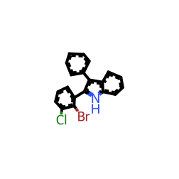 Clc1cccc(-c2[nH]c3ccccc3c2-c2ccccc2)c1Br